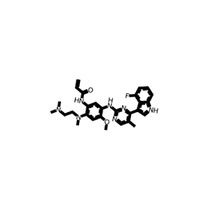 C=CC(=O)Nc1cc(Nc2ncc(C)c(-c3c[nH]c4cccc(F)c34)n2)c(OC)cc1N(C)CCN(C)C